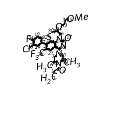 C=CC(=O)N1[C@H](C)CN(c2nc(=O)n3c4c(c(-c5ccc(F)c(Cl)c5)c(C(F)(F)F)cc24)SC[C@H](OCCOC)C3)C[C@@H]1C